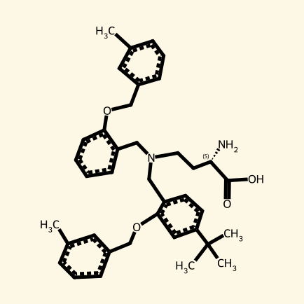 Cc1cccc(COc2ccccc2CN(CC[C@H](N)C(=O)O)Cc2ccc(C(C)(C)C)cc2OCc2cccc(C)c2)c1